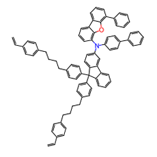 C=Cc1ccc(CCCCc2ccc(C3(c4ccc(CCCCc5ccc(C=C)cc5)cc4)c4ccccc4-c4cc(N(c5ccc(-c6ccccc6)cc5)c5cccc6c5oc5c(-c7ccccc7)cccc56)ccc43)cc2)cc1